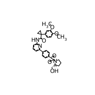 COc1ccc(C2(C(=O)Nc3cccc(-c4ccc(S(=O)(=O)N5CCC[C@@H]5CO)cc4)n3)CC2)cc1OC